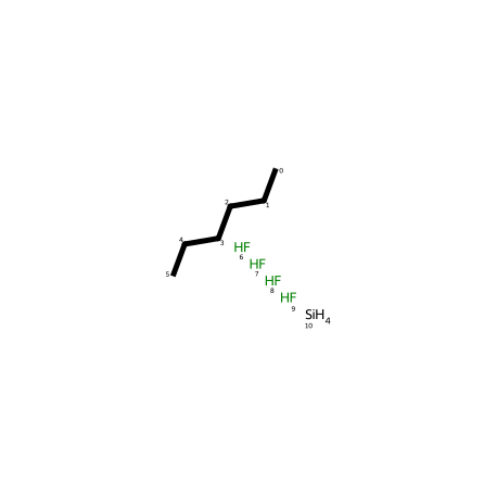 CCCCCC.F.F.F.F.[SiH4]